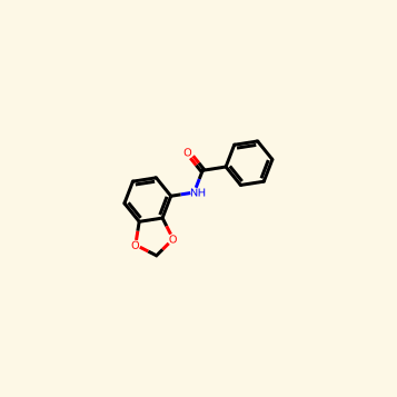 O=C(Nc1cccc2c1OCO2)c1ccccc1